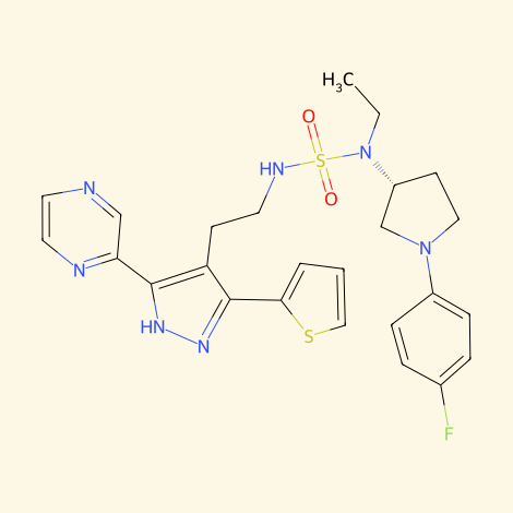 CCN([C@@H]1CCN(c2ccc(F)cc2)C1)S(=O)(=O)NCCc1c(-c2cccs2)n[nH]c1-c1cnccn1